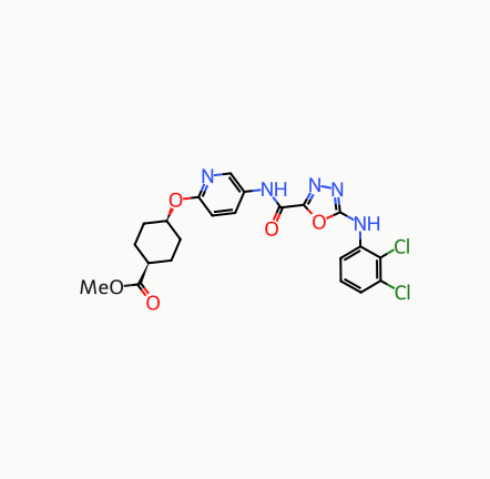 COC(=O)[C@H]1CC[C@@H](Oc2ccc(NC(=O)c3nnc(Nc4cccc(Cl)c4Cl)o3)cn2)CC1